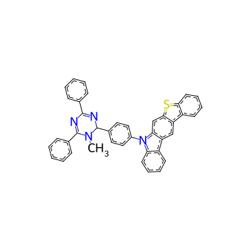 CN1C(c2ccccc2)=NC(c2ccccc2)=NC1c1ccc(-n2c3ccccc3c3cc4c(cc32)sc2ccccc24)cc1